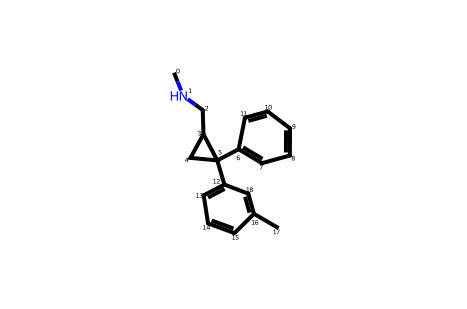 CNCC1CC1(c1ccccc1)c1cccc(C)c1